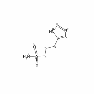 NS(=O)(=O)CCCc1cnc[nH]1